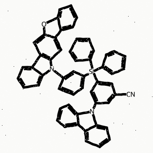 N#Cc1cc(-n2c3ccccc3c3ccccc32)cc([Si](c2ccccc2)(c2ccccc2)c2cccc(-n3c4ccccc4c4cc5oc6ccccc6c5cc43)c2)c1